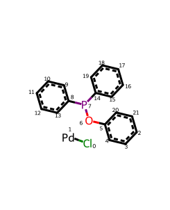 [Cl][Pd].c1ccc(OP(c2ccccc2)c2ccccc2)cc1